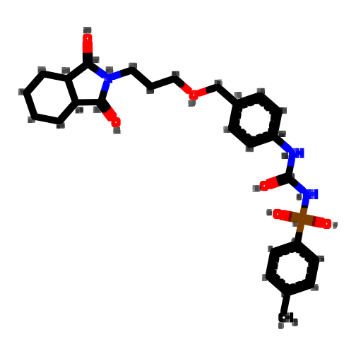 Cc1ccc(S(=O)(=O)NC(=O)Nc2ccc(COCCCN3C(=O)C4CCCCC4C3=O)cc2)cc1